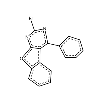 Brc1nc(-c2ccccc2)c2c(n1)oc1ccccc12